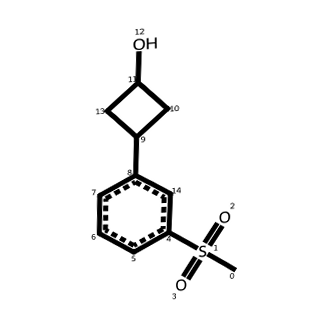 CS(=O)(=O)c1cccc(C2CC(O)C2)c1